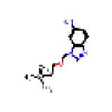 C[Si](C)(C)CCOCn1nnc2ccc(N)cc21